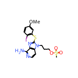 COc1ccc(I)c(Sc2nc3c(N)nccc3n2CCCOS(C)(=O)=O)c1